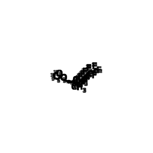 C[Si](C)(C#CCOC1CCCCO1)C(F)C(F)(F)C(F)(F)C(F)(F)C(F)(F)C(F)C(F)C(F)F